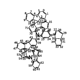 c1ccc2c(c1)-c1ccccc1C21c2ccccc2-c2c(N(c3ccc(-c4cccc5ccccc45)cc3)c3ccc4c(c3)-c3ccccc3C43c4ccccc4-n4c5ccccc5c5cccc3c54)cccc21